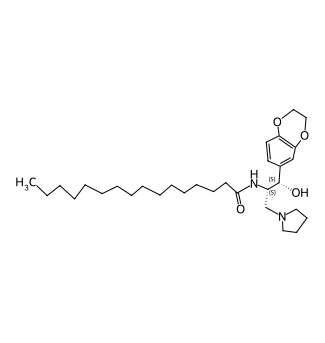 CCCCCCCCCCCCCCCC(=O)N[C@@H](CN1CCCC1)[C@@H](O)c1ccc2c(c1)OCCO2